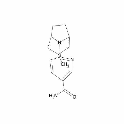 CC1CC2CCC(C1)N2c1ccc(C(N)=O)cn1